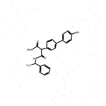 CCCc1ccc(-c2ccc(C(C(=O)NC)C(=O)NC(C)c3ccccc3)cc2)cc1